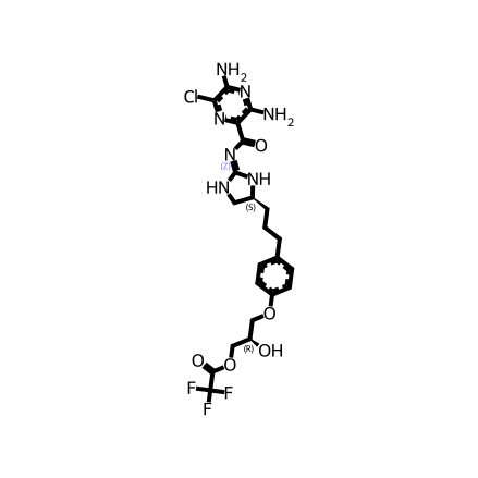 Nc1nc(N)c(C(=O)/N=C2/NC[C@H](CCCc3ccc(OC[C@@H](O)COC(=O)C(F)(F)F)cc3)N2)nc1Cl